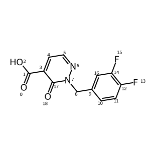 O=C(O)c1ccnn(Cc2ccc(F)c(F)c2)c1=O